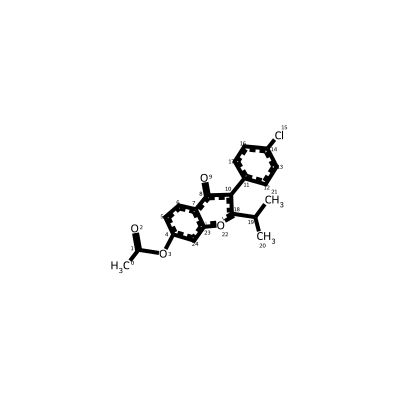 CC(=O)Oc1ccc2c(=O)c(-c3ccc(Cl)cc3)c(C(C)C)oc2c1